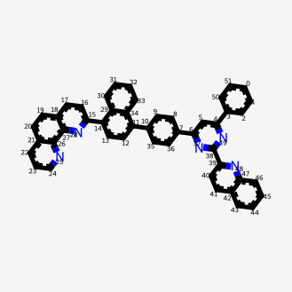 c1ccc(-c2cc(-c3ccc(-c4ccc(-c5ccc6ccc7cccnc7c6n5)c5ccccc45)cc3)nc(-c3ccc4ccccc4n3)n2)cc1